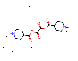 CN1CCC(C(=O)OC(=O)C(=O)OC(=O)C2CCN(C)CC2)CC1